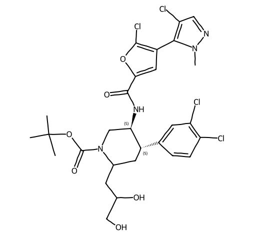 Cn1ncc(Cl)c1-c1cc(C(=O)N[C@@H]2CN(C(=O)OC(C)(C)C)C(CC(O)CO)C[C@H]2c2ccc(Cl)c(Cl)c2)oc1Cl